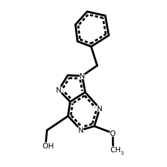 COc1nc(CO)c2ncn(Cc3ccccc3)c2n1